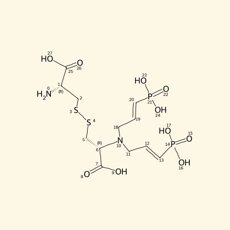 N[C@@H](CSSC[C@@H](C(=O)O)N(CC=CP(=O)(O)O)CC=CP(=O)(O)O)C(=O)O